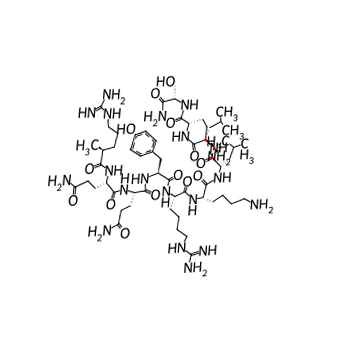 CC(C)C[C@H](NC(=O)[C@H](CC(C)C)NC(=O)[C@H](CCCCN)NC(=O)[C@H](CCCCNC(=N)N)NC(=O)[C@H](Cc1ccc(O)cc1)NC(=O)[C@H](CCC(N)=O)NC(=O)[C@H](CCC(N)=O)NC(=O)[C@@H](C)CCCNC(=N)N)C(=O)N[C@@H](CCCCN)C(=O)N[C@@H](CO)C(N)=O